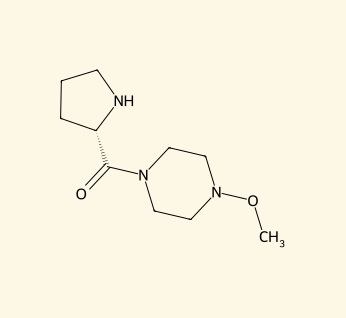 CON1CCN(C(=O)[C@@H]2CCCN2)CC1